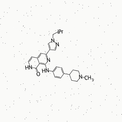 CC(C)Cn1cc(-c2cc3cc[nH]c(=O)c3c(Nc3ccc(C4CCN(C)CC4)cc3)n2)cn1